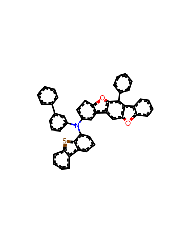 c1ccc(-c2cccc(N(c3ccc4oc5c(-c6ccccc6)c6c(cc5c4c3)oc3ccccc36)c3cccc4c3sc3ccccc34)c2)cc1